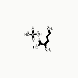 C=CCC=C(C)C(=O)O.O=S(=O)(O)O